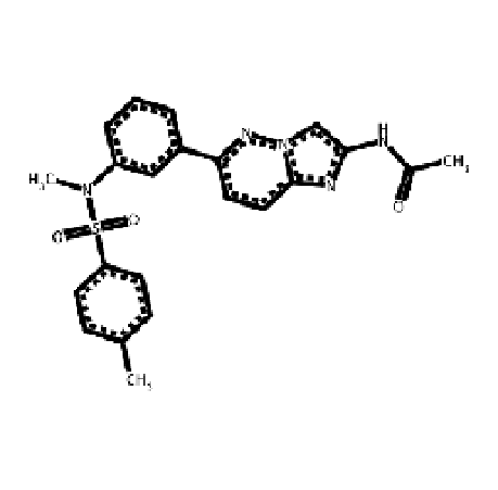 CC(=O)Nc1cn2nc(-c3cccc(N(C)S(=O)(=O)c4ccc(C)cc4)c3)ccc2n1